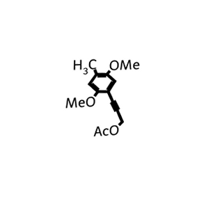 COc1cc(C#CCOC(C)=O)c(OC)cc1C